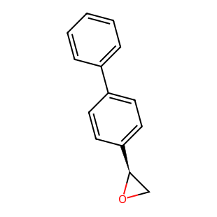 c1ccc(-c2ccc([C@H]3CO3)cc2)cc1